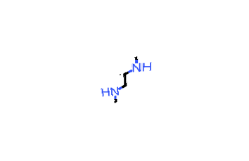 CN[CH]CNC